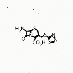 NC1C(=O)N2C(C(=O)O)=C(CSc3nncs3)CSC12